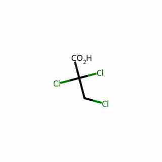 O=C(O)C(Cl)(Cl)CCl